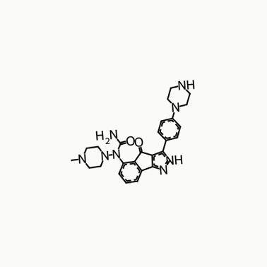 CN1CCN(N(C(N)=O)c2cccc3c2C(=O)c2c-3n[nH]c2-c2ccc(N3CCNCC3)cc2)CC1